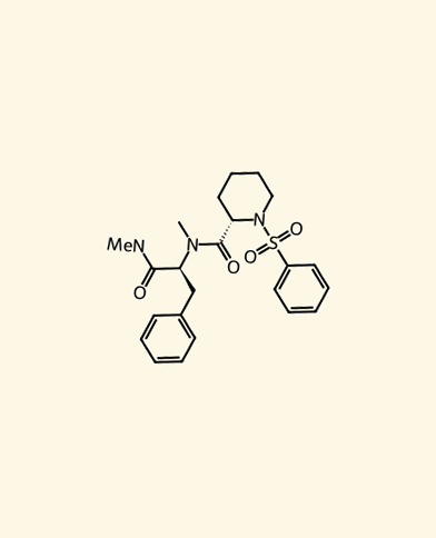 CNC(=O)[C@H](Cc1ccccc1)N(C)C(=O)[C@@H]1CCCCN1S(=O)(=O)c1ccccc1